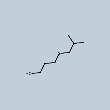 CC(C)CSCCCO